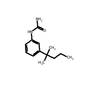 CCCC(C)(C)c1cccc(NC(N)=O)c1